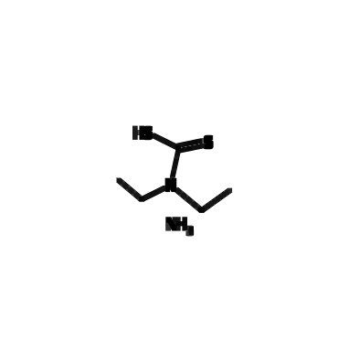 CCN(CC)C(=S)S.N